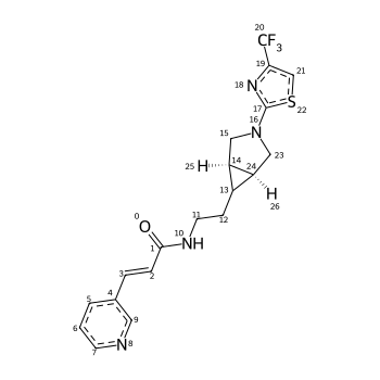 O=C(/C=C/c1cccnc1)NCCC1[C@H]2CN(c3nc(C(F)(F)F)cs3)C[C@@H]12